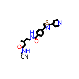 CC(CCNC(=O)c1ccc(-c2csc(-c3ccncc3)n2)cc1)CC(=O)NCC#N